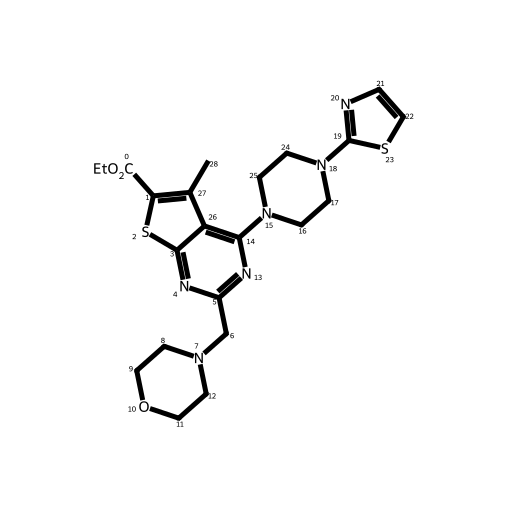 CCOC(=O)c1sc2nc(CN3CCOCC3)nc(N3CCN(c4nccs4)CC3)c2c1C